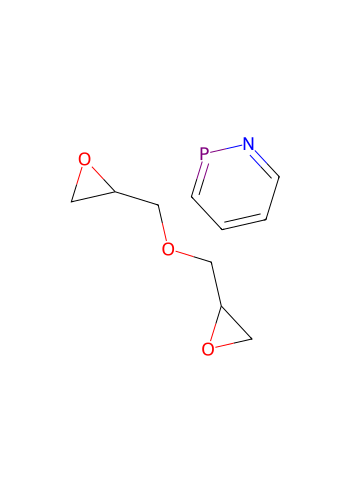 C(OCC1CO1)C1CO1.c1ccpnc1